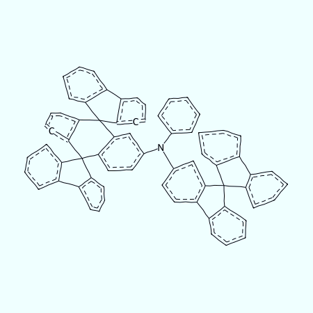 c1ccc(N(c2ccc3c(c2)C2(c4ccccc4-c4ccccc42)c2ccccc2-3)c2ccc3c(c2)C2(c4ccccc4-c4ccccc42)c2ccccc2C32c3ccccc3-c3ccccc32)cc1